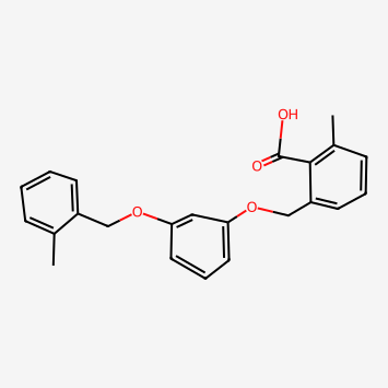 Cc1ccccc1COc1cccc(OCc2cccc(C)c2C(=O)O)c1